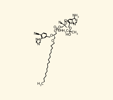 CCCCCCCCCCCCCCCCCCOC[C@H](COP(=O)(O)OC[C@](C#N)(C[C@@H](OC(C)(C)O)c1ccc2c(N)ncnn12)OC)OCc1ccc(C#N)c(-n2cncn2)c1